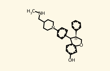 CNCC1CCN(c2ccc(C3c4ccc(O)cc4OC[C@@H]3c3ccccc3)cc2)CC1